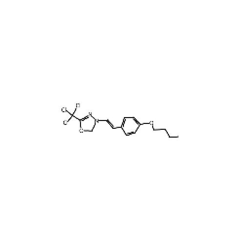 CCCCOc1ccc(C=CN2COC(C(Cl)(Cl)Cl)=N2)cc1